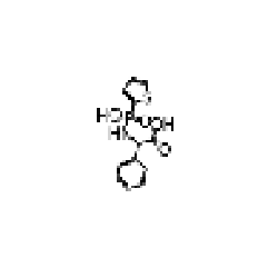 O=C(O)C(NP(=O)(O)c1cccs1)c1ccccc1